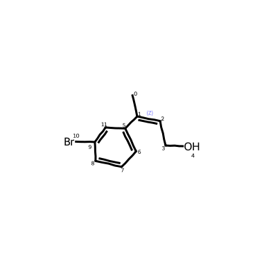 C/C(=C/CO)c1cccc(Br)c1